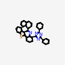 c1ccc(-c2nc(-c3ccccc3)nc(-c3cccc4c3nc(-c3cccc5ccccc35)c3c5ccccc5sc43)n2)cc1